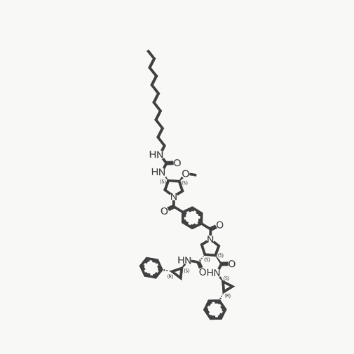 CCCCCCCCCCCCNC(=O)N[C@H]1CN(C(=O)c2ccc(C(=O)N3C[C@@H](C(=O)N[C@H]4C[C@@H]4c4ccccc4)[C@H](C(=O)N[C@H]4C[C@@H]4c4ccccc4)C3)cc2)C[C@@H]1OC